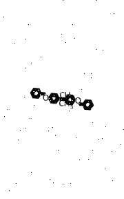 CC(C)(c1ccc(OCC2CC=CCC2)cc1)c1ccc(OCC2CC=CCC2)cc1